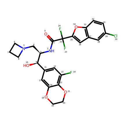 O=C(N[C@H](CN1CCC1)[C@H](O)c1cc(F)c2c(c1)OCCO2)C(F)(F)c1cc2cc(Cl)ccc2o1